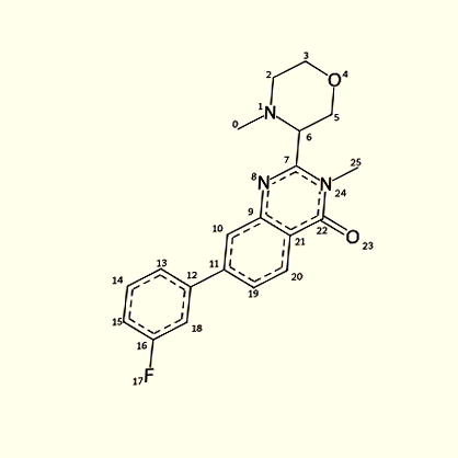 CN1CCOCC1c1nc2cc(-c3cccc(F)c3)ccc2c(=O)n1C